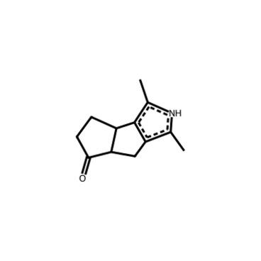 Cc1[nH]c(C)c2c1CC1C(=O)CCC21